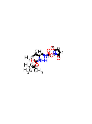 CC(C)[C@@H](CNC(=O)ON1C(=O)CCC1=O)NC(=O)OC(C)(C)C